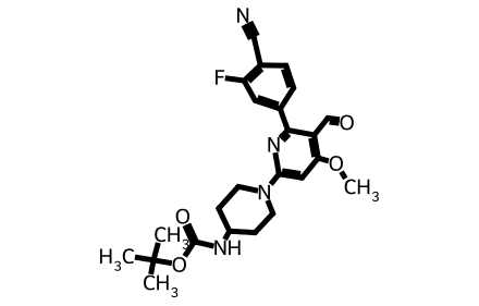 COc1cc(N2CCC(NC(=O)OC(C)(C)C)CC2)nc(-c2ccc(C#N)c(F)c2)c1C=O